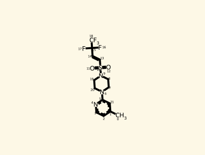 Cc1ccnc(N2CCN(S(=O)(=O)/C=C/C(F)(F)C(F)(F)F)CC2)c1